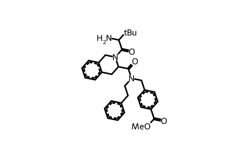 COC(=O)c1ccc(CN(CCc2ccccc2)C(=O)C2Cc3ccccc3CN2C(=O)C(N)C(C)(C)C)cc1